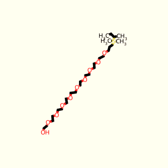 CCC(C)S(C)(C)CCCOCCOCCOCCOCCOCCOCCOCCOCCOCCO